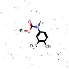 CC(=O)N(C(=O)OC(C)(C)C)c1ccc(C#N)c([N+](=O)[O-])c1